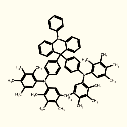 Cc1cc(N(c2ccc(C3(c4ccc(N(c5cc(C)c(C)c(C)c5C)c5cc(C)c(C)c(C)c5C)cc4)c4ccccc4N(c4ccccc4)c4ccccc43)cc2)c2cc(C)c(C)c(C)c2C)c(C)c(C)c1C